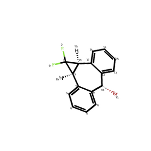 FC1(F)[C@@H]2c3ccccc3[C@@H](Br)c3ccccc3[C@@H]21